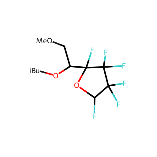 CCC(C)OC(COC)C1(F)OC(F)C(F)(F)C1(F)F